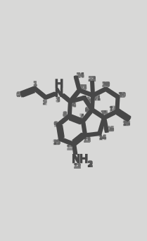 C=CCNC12CC34c5c1ccc(N)c5CC3(C)C(=C)CCC4(C)C2C